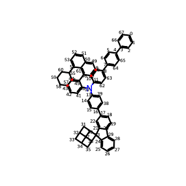 c1ccc(-c2ccc(-c3ccc(N(c4ccc(-c5ccc6c(c5)C5(c7ccccc7-6)C6CC7CC8CC5C786)cc4)c4ccccc4-c4cccc5cccc(C6CCCCC6)c45)cc3)cc2)cc1